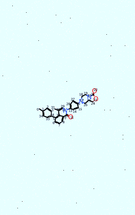 Cc1ccc(-c2cccc3c(=O)n(-c4ccc(N5CCN6C(=O)OCC6C5)cc4)cc(C)c23)cc1